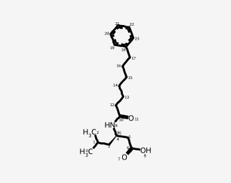 CC(C)C[C@H](CC(=O)O)NC(=O)CCCCCCc1ccccc1